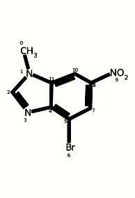 Cn1cnc2c(Br)cc([N+](=O)[O-])cc21